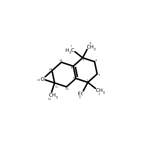 CCC1(C)CCC(C)(C)C2=C1CC1(C)OC1C2